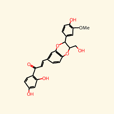 COc1cc(C2Oc3cc(/C=C/C(=O)c4ccc(O)cc4O)ccc3OC2CO)ccc1O